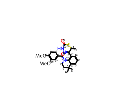 COc1ccc(C(=O)N2CCC(C)(C)c3cccc(C4=NNC(=O)SC4C)c32)cc1OC